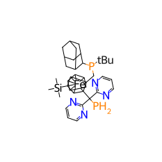 CC(C)(C)P(C[C]12[CH]3[C]4([Si](C)(C)C)[CH]5[C]1(C(P)(c1ncccn1)c1ncccn1)[Fe]35241678[CH]2[CH]1[CH]6[CH]7[CH]28)C1C2CC3CC(C2)CC1C3